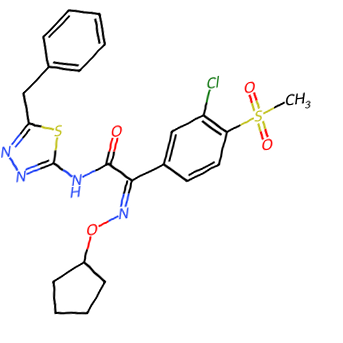 CS(=O)(=O)c1ccc(C(=NOC2CCCC2)C(=O)Nc2nnc(Cc3ccccc3)s2)cc1Cl